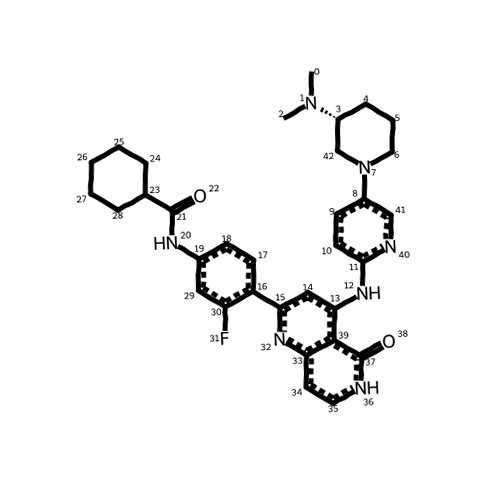 CN(C)[C@@H]1CCCN(c2ccc(Nc3cc(-c4ccc(NC(=O)C5CCCCC5)cc4F)nc4cc[nH]c(=O)c34)nc2)C1